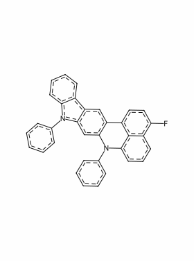 Fc1ccc2c3c(cccc13)N(c1ccccc1)c1cc3c(cc1-2)c1ccccc1n3-c1ccccc1